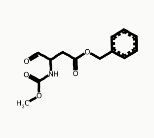 COC(=O)NC(C=O)CC(=O)OCc1ccccc1